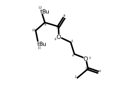 C=C(C)OCCOC(=C)C(CC(C)(C)C)C(C)(C)C